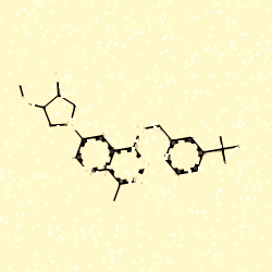 COC1CN(c2cnc3c(C)nnc(N[C@H](C)c4cccc(C(F)(F)F)c4)c3c2)CC1F